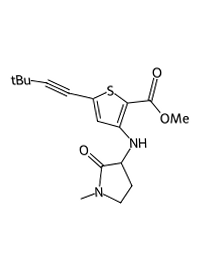 COC(=O)c1sc(C#CC(C)(C)C)cc1NC1CCN(C)C1=O